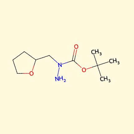 CC(C)(C)OC(=O)N(N)CC1CCCO1